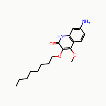 CCCCCCCCOc1c(OC)c2ccc(N)cc2[nH]c1=O